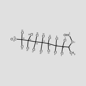 CC(O[C]=O)C(Cl)(Cl)C(Cl)(Cl)C(Cl)(Cl)C(Cl)(Cl)C(Cl)(Cl)C(Cl)(Cl)C(Cl)(Cl)C(Cl)(Cl)Cl